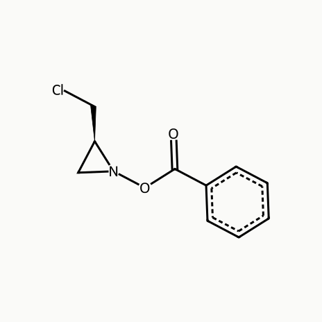 O=C(ON1C[C@H]1CCl)c1ccccc1